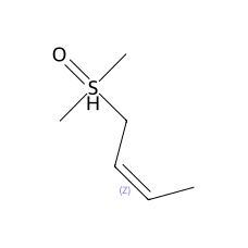 C/C=C\C[SH](C)(C)=O